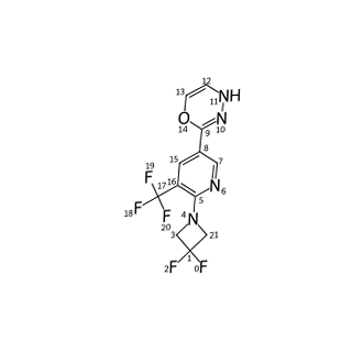 FC1(F)CN(c2ncc(C3=NNC=CO3)cc2C(F)(F)F)C1